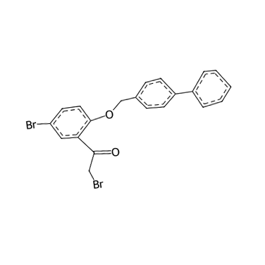 O=C(CBr)c1cc(Br)ccc1OCc1ccc(-c2ccccc2)cc1